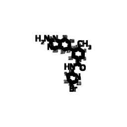 Cc1ccc(C(=O)Nc2ccc(Br)cn2)cc1-c1ccc2nc(N)ncc2c1